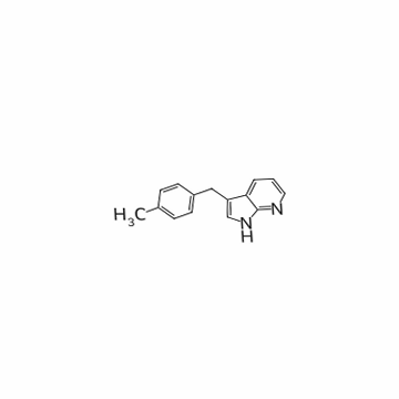 Cc1ccc(Cc2c[nH]c3ncccc23)cc1